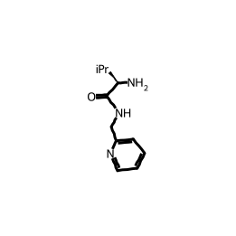 CC(C)[C@@H](N)C(=O)NCc1ccccn1